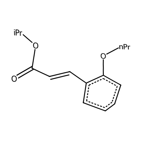 CCCOc1ccccc1C=CC(=O)OC(C)C